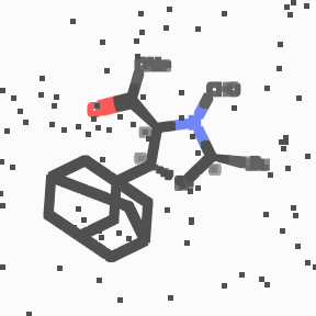 COC(=O)[C@@H]1[C@@H](C23CC4CC(CC(C4)C2)C3)[Se][C@H](C(C)(C)C)N1C=O